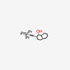 CC(C)[Si](C#Cc1ccc2ccccc2c1O)(C(C)C)C(C)C